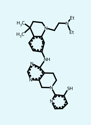 CCN(CC)CCN1CCC(C)(C)c2ccc(Nc3ncnc4c3CCN(c3ncccc3S)C4)cc21